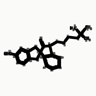 C[Si](C)(C)CCOCN1C(=O)C2(Cc3ccc(C=O)cc3C2)c2cccnc21